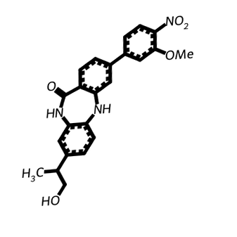 COc1cc(-c2ccc3c(c2)Nc2ccc(C(C)CO)cc2NC3=O)ccc1[N+](=O)[O-]